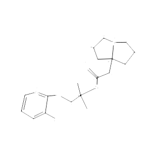 Cc1cccnc1OCC(C)(C)NC(=O)CC12CCCN1CCC2